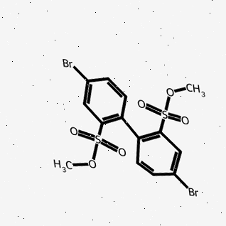 COS(=O)(=O)c1cc(Br)ccc1-c1ccc(Br)cc1S(=O)(=O)OC